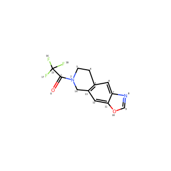 O=C(N1CCc2cc3ncoc3cc2C1)C(F)(F)F